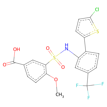 COc1ccc(C(=O)O)cc1S(=O)(=O)Nc1cc(C(F)(F)F)ccc1-c1ccc(Cl)s1